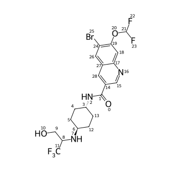 O=C(N[C@H]1CC[C@H](NC(CO)C(F)(F)F)CC1)c1cnc2cc(OC(F)F)c(Br)cc2c1